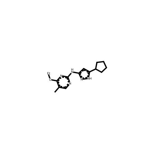 CCOc1nc(Nc2cc(C3CCCC3)[nH]n2)ncc1C